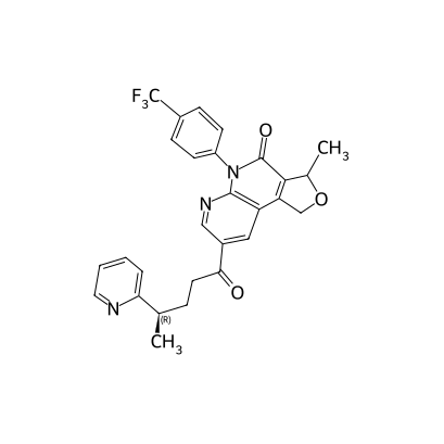 CC1OCc2c1c(=O)n(-c1ccc(C(F)(F)F)cc1)c1ncc(C(=O)CC[C@@H](C)c3ccccn3)cc21